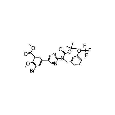 COC(=O)c1cc(-c2cnc(N(Cc3cccc(OC(F)(F)F)c3)C(=O)OC(C)(C)C)nc2)cc(Br)c1OC